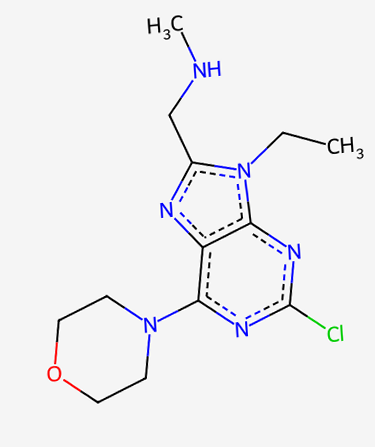 CCn1c(CNC)nc2c(N3CCOCC3)nc(Cl)nc21